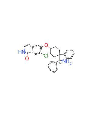 N[C@@H](c1ccccc1)C1(c2ccccc2)CCC(Oc2cc3cc[nH]c(=O)c3cc2Cl)CC1